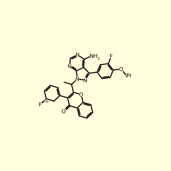 CC(C)Oc1ccc(-c2nn(C(C)c3oc4ccccc4c(=O)c3C3=CC=C[C@H](F)C3)c3ncnc(N)c23)cc1F